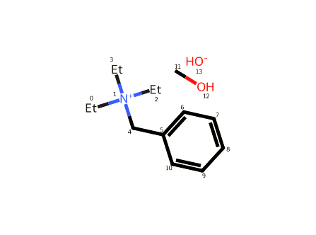 CC[N+](CC)(CC)Cc1ccccc1.CO.[OH-]